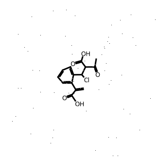 C=C(C(=O)O)c1ccccc1C(Cl)C(C(C)=O)C(=O)O